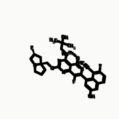 C#Cc1c(F)ccc2cc(O)cc(-c3nc(OC(C)C)c4c(NCC(C)(C)O)nc(OC[C@@]56CCCN5C[C@H](F)C6)nc4c3F)c12